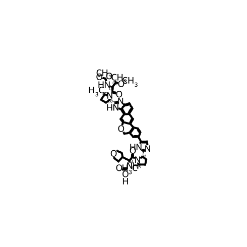 COC(=O)N[C@H](C(=O)N1[C@@H](C)CC[C@H]1c1nc2ccc3cc4c(cc3c2[nH]1)OCc1cc(-c2cnc([C@@H]3CC[C@H](C)N3C(=O)[C@@H](NC(=O)O)C3CCOCC3)[nH]2)ccc1-4)[C@@H](C)OC